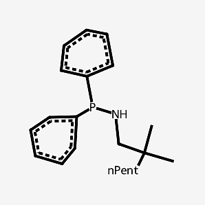 CCCCCC(C)(C)CNP(c1ccccc1)c1ccccc1